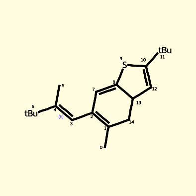 CC1=C(/C=C(\C)C(C)(C)C)C=C2SC(C(C)(C)C)=CC2C1